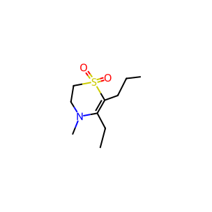 CCCC1=C(CC)N(C)CCS1(=O)=O